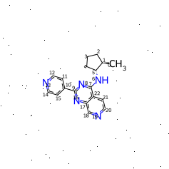 C[C@@H]1CCC[C@H]1Nc1nc(-c2ccncc2)nc2cnccc12